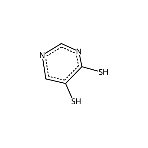 Sc1cncnc1S